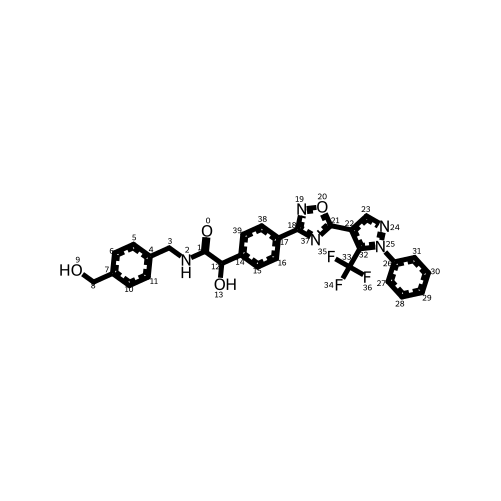 O=C(NCc1ccc(CO)cc1)C(O)c1ccc(-c2noc(-c3cnn(-c4ccccc4)c3C(F)(F)F)n2)cc1